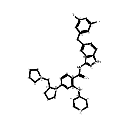 O=C(Nc1n[nH]c2ccc(Cc3cc(F)cc(F)c3)cc12)c1ccc(N2CCCC2CN2CCCC2)cc1NC1CCOCC1